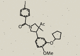 COc1ccc(C2CN(C(=O)c3ccc(I)cc3)CC2(C)C(C)=O)cc1OC1CCCC1